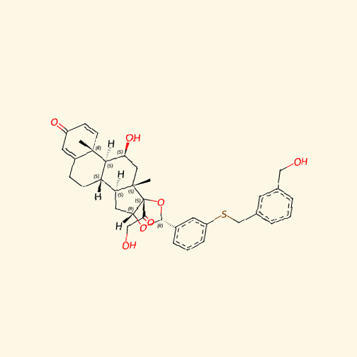 C[C@]12C=CC(=O)C=C1CC[C@@H]1[C@@H]2[C@@H](O)C[C@@]2(C)[C@H]1C[C@H]1O[C@@H](c3cccc(SCc4cccc(CO)c4)c3)O[C@]12C(=O)CO